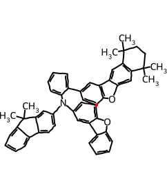 CC1(C)CCC(C)(C)c2cc3c(cc21)oc1ccc(-c2ccccc2N(c2ccc4c(c2)C(C)(C)c2ccccc2-4)c2ccc4oc5ccccc5c4c2)cc13